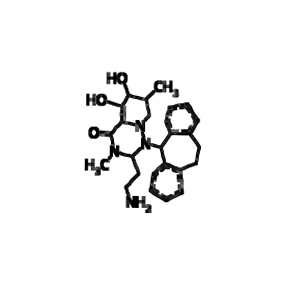 CC1CN2C(=C(O)C1O)C(=O)N(C)C(CCN)N2C1c2ccccc2CCc2ccccc21